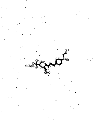 CCN(CCO)c1ccc(C=Cc2sc(C=O)c3c2OCC(C(C)(C)O[SiH2]C(C)(C)C)O3)cc1